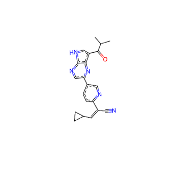 CC(C)C(=O)c1c[nH]c2ncc(-c3ccc(/C(C#N)=C\C4CC4)nc3)nc12